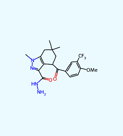 COc1ccc(C(=O)C2CC(C)(C)Cc3c2c(C(=O)NN)nn3C)cc1C(F)(F)F